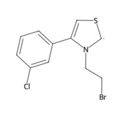 Clc1cccc(C2=CS[CH]N2CCBr)c1